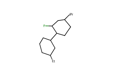 CCC1CCCC(C2CCC(C(C)C)CC2F)C1